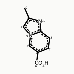 Cc1cn2cc(C(=O)O)ccc2n1